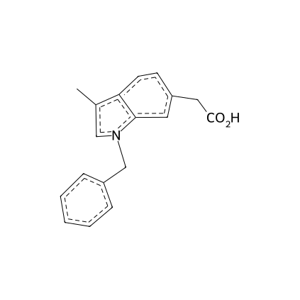 Cc1cn(Cc2ccccc2)c2cc(CC(=O)O)ccc12